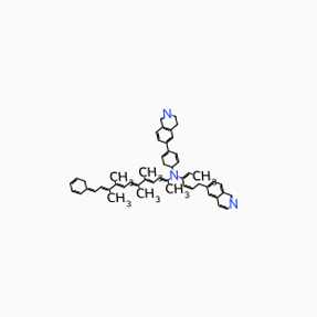 C/C=C(\C=C/Cc1ccc2cnccc2c1)N(/C(C)=C/C=C(C)/C(C)=C/C=C(C)/C(C)=C/C=C1/C=CC=CC1)C1C=CC(c2ccc3c(c2)CCN=C3)=CC1